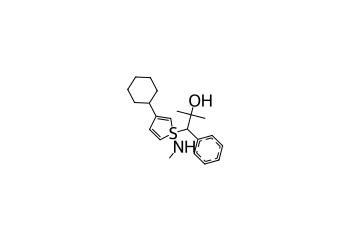 CNS1(C(c2ccccc2)C(C)(C)O)C=CC(C2CCCCC2)=C1